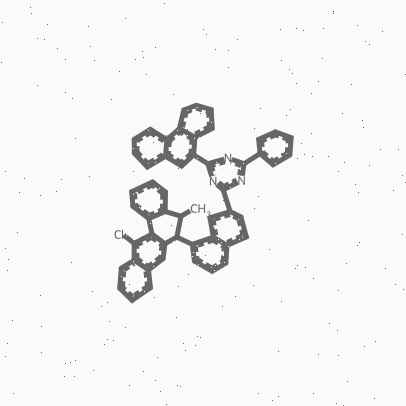 CC1c2ccccc2-c2c(cc3ccccc3c2Cl)C1c1cccc2ccc(-c3nc(-c4ccccc4)nc(-c4cc5ccccc5c5ccccc45)n3)cc12